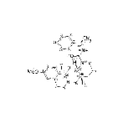 COc1ccc2c(c1)CCN1C[C@H]3CCCN(C(=O)N[C@H](C)c4ccccc4)[C@H]3C[C@H]21